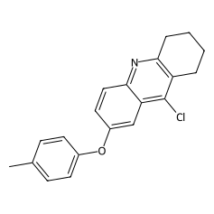 Cc1ccc(Oc2ccc3nc4c(c(Cl)c3c2)CCCC4)cc1